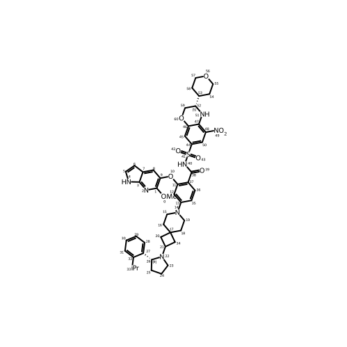 COc1nc2[nH]ccc2cc1Oc1cc(N2CCC3(CC2)CC(N2CCC[C@@H]2c2ccccc2C(C)C)C3)ccc1C(=O)NS(=O)(=O)c1cc2c(c([N+](=O)[O-])c1)N[C@@H](C1CCOCC1)CO2